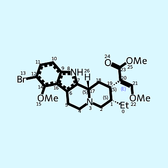 CC[C@@H]1CN2CCc3c([nH]c4ccc(Br)c(OC)c34)[C@@H]2C[C@@H]1/C(=C\OC)C(=O)OC